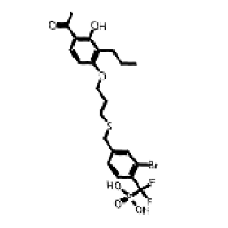 CCCc1c(OCCCSCc2ccc(C(F)(F)P(=O)(O)O)c(Br)c2)ccc(C(C)=O)c1O